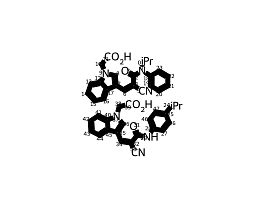 CC(C)N(C(=O)C(C#N)=Cc1cn(CC(=O)O)c2ccccc12)c1ccccc1.CC(C)c1ccc(NC(=O)C(C#N)=Cc2cn(CC(=O)O)c3ccccc23)cc1